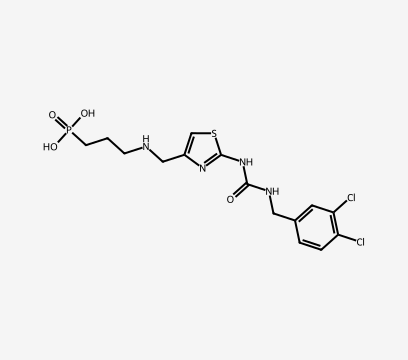 O=C(NCc1ccc(Cl)c(Cl)c1)Nc1nc(CNCCCP(=O)(O)O)cs1